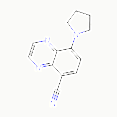 N#Cc1ccc(N2CCCC2)c2nccnc12